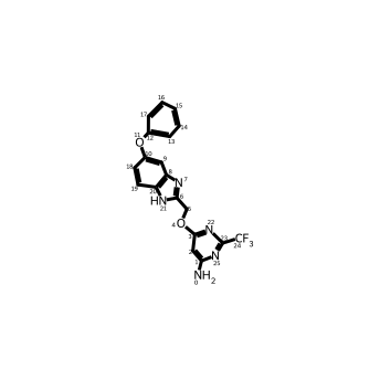 Nc1cc(OCc2nc3cc(Oc4ccccc4)ccc3[nH]2)nc(C(F)(F)F)n1